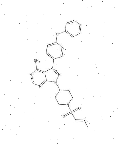 C/C=C/S(=O)(=O)N1CCC(n2nc(-c3ccc(Oc4ccccc4)cc3)c3c(N)ncnc32)CC1